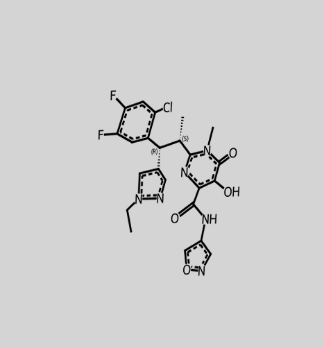 CCn1cc([C@H](c2cc(F)c(F)cc2Cl)[C@H](C)c2nc(C(=O)Nc3cnoc3)c(O)c(=O)n2C)cn1